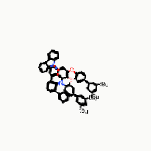 CC(C)(C)c1cc(-c2ccc3c(c2)B2c4cc(-c5cc(C(C)(C)C)cc(C(C)(C)C)c5)ccc4N(c4c(-c5ccccc5)cccc4-c4ccccc4)c4cc(-n5c6ccccc6c6ccccc65)cc(c42)O3)cc(C(C)(C)C)c1